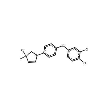 C[N+]1([O-])C=CN(c2ccc(Oc3ccc(Cl)c(Cl)c3)cc2)C1